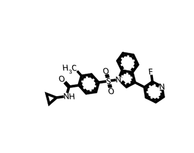 Cc1cc(S(=O)(=O)n2cc(-c3cccnc3F)c3ccccc32)ccc1C(=O)NC1CC1